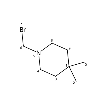 CC1(C)CCN(CBr)CC1